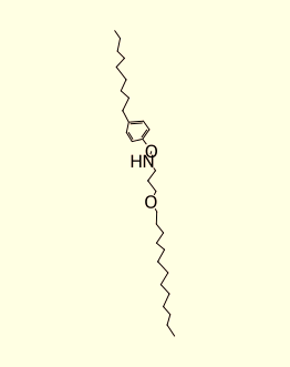 CCCCCCCCCCCCCOCCCNOc1ccc(CCCCCCCCC)cc1